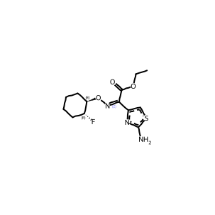 CCOC(=O)/C(=N\O[C@@H]1CCCC[C@H]1F)c1csc(N)n1